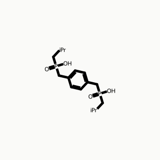 CC(C)CP(=O)(O)Cc1ccc(CP(=O)(O)CC(C)C)cc1